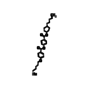 C=CCCCC1CCC(OC(=O)c2ccc(OC(=O)c3ccc(OCCCCC[C@@H](C)CC)cc3)cc2)CC1